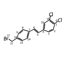 Clc1ccc(C=Cc2ccc(CBr)cc2)cc1Cl